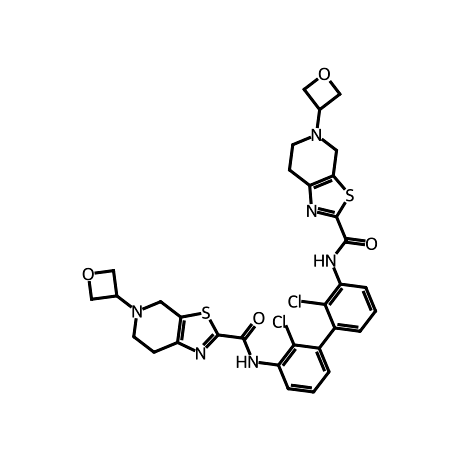 O=C(Nc1cccc(-c2cccc(NC(=O)c3nc4c(s3)CN(C3COC3)CC4)c2Cl)c1Cl)c1nc2c(s1)CN(C1COC1)CC2